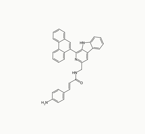 Nc1ccc(/C=C/C(=O)NCc2cc3c([nH]c4ccccc43)c(-c3cc4ccccc4c4ccccc34)n2)cc1